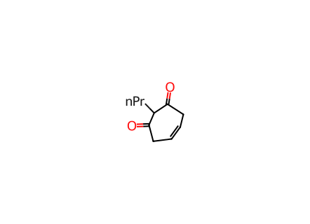 CCCC1C(=O)CC=CCC1=O